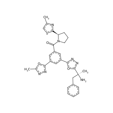 Cc1csc([C@H]2CCCN2C(=O)c2cc(-c3nnc(C)o3)cc(-c3nnc([C@@](C)(N)Cc4ccccc4)o3)c2)n1